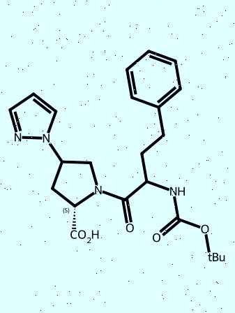 CC(C)(C)OC(=O)NC(CCc1ccccc1)C(=O)N1CC(n2cccn2)C[C@H]1C(=O)O